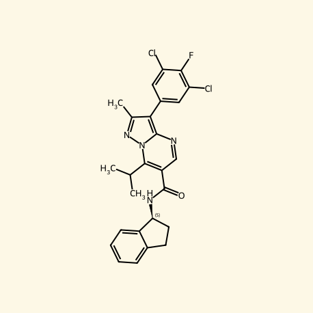 Cc1nn2c(C(C)C)c(C(=O)N[C@H]3CCc4ccccc43)cnc2c1-c1cc(Cl)c(F)c(Cl)c1